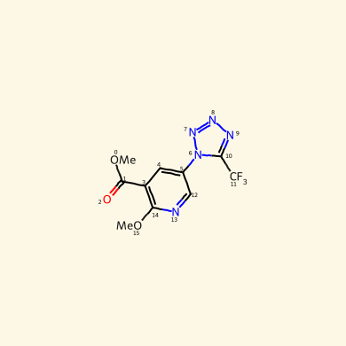 COC(=O)c1cc(-n2nnnc2C(F)(F)F)cnc1OC